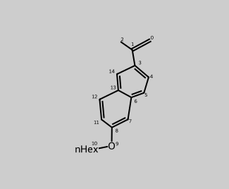 C=C(C)c1ccc2cc(OCCCCCC)ccc2c1